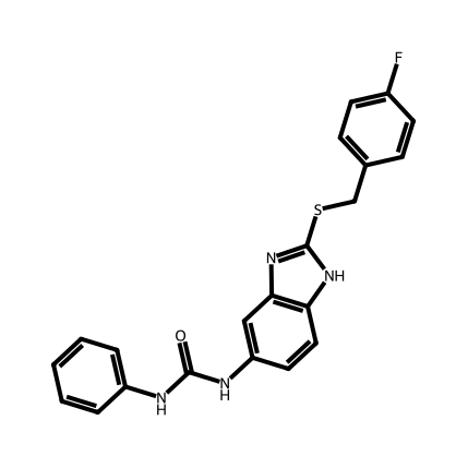 O=C(Nc1ccccc1)Nc1ccc2[nH]c(SCc3ccc(F)cc3)nc2c1